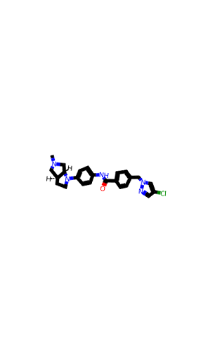 CN1C[C@@H]2CCN(c3ccc(NC(=O)c4ccc(Cn5cc(Cl)cn5)cc4)cc3)[C@@H]2C1